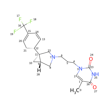 Cc1cn(CCCN2C[C@@H]3C[C@]3([C@H]3C=CC(C(F)(F)F)=CC3)C2)c(=O)[nH]c1=O